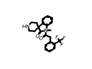 C[N+]1(C(=O)Cc2ccccc2C(F)(F)F)C(=O)C2(CCNCC2)c2ccccc21